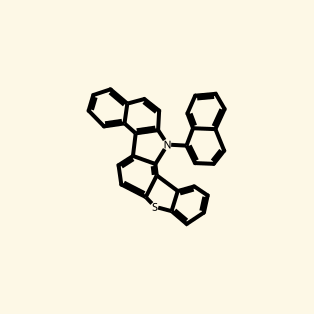 c1ccc2c(-n3c4ccc5ccccc5c4c4ccc5sc6ccccc6c5c43)cccc2c1